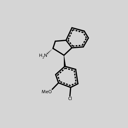 COc1cc([C@@H]2c3ccccc3C[C@H]2N)ccc1Cl